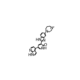 CN1CCCN(c2ccc3[nH]c(-c4cc(-c5ccnc6[nH]ccc56)c[nH]c4=O)nc3c2)CC1